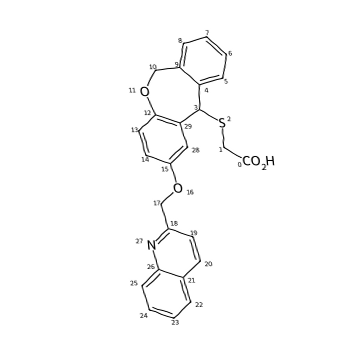 O=C(O)CSC1c2ccccc2COc2ccc(OCc3ccc4ccccc4n3)cc21